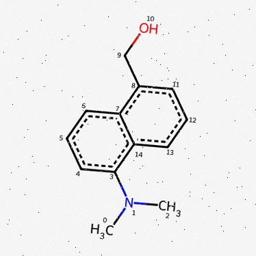 CN(C)c1cccc2c(CO)cccc12